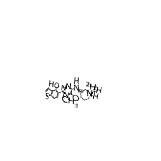 [2H]C([2H])([2H])N1CCC[C@@H](Nc2nnc(-c3ccc4sccc4c3O)n(C)c2=O)C1